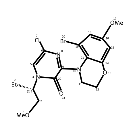 CC[C@@H](COC)n1cc(Cl)nc(N2CCOc3cc(OC)cc(Br)c32)c1=O